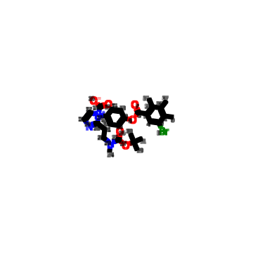 Cc1c(Br)cc(C(=O)Oc2ccc([N+]3(C(=O)[O-])C=CN=C3CCN(C)C(=O)OC(C)(C)C)cc2)c(C)c1C